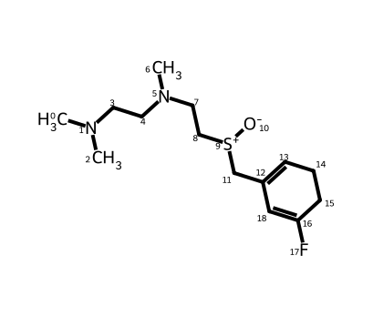 CN(C)CCN(C)CC[S+]([O-])CC1=CCCC(F)=C1